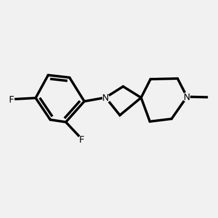 CN1CCC2(CC1)CN(c1ccc(F)cc1F)C2